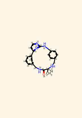 C[C@@H]1NCc2ccc(cc2)Nc2nccc(n2)-c2cccc(c2)CNC1=O